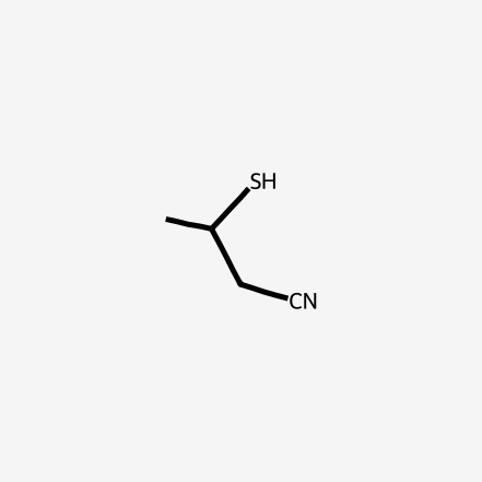 CC(S)CC#N